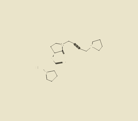 CN1CCC[C@H]1C(=O)S[C@H]1CCN(CC#CCN2CCCC2)C1=O